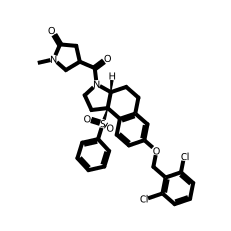 CN1CC(C(=O)N2CC[C@@]3(S(=O)(=O)c4ccccc4)c4ccc(OCc5c(Cl)cccc5Cl)cc4CC[C@@H]23)CC1=O